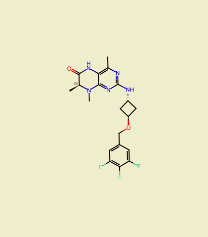 Cc1nc(N[C@H]2C[C@H](OCc3cc(F)c(F)c(F)c3)C2)nc2c1NC(=O)[C@H](C)N2C